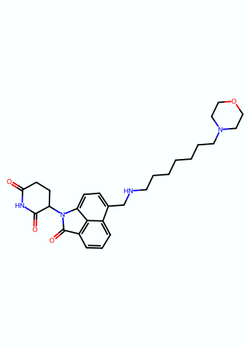 O=C1CCC(N2C(=O)c3cccc4c(CNCCCCCCCN5CCOCC5)ccc2c34)C(=O)N1